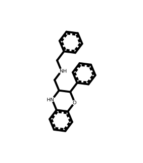 c1ccc(CNCC2Nc3ccccc3OC2c2ccccc2)cc1